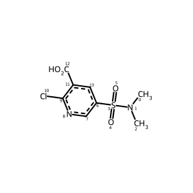 CN(C)S(=O)(=O)c1cnc(Cl)c(C(=O)O)c1